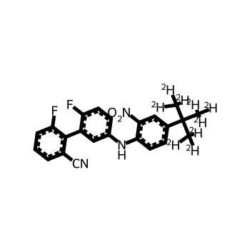 [2H]C([2H])([2H])C(c1ccc(Nc2ccc(F)c(-c3c(F)cccc3C#N)c2)c([N+](=O)[O-])c1)(C([2H])([2H])[2H])C([2H])([2H])[2H]